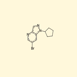 Brc1cnc2cnn(C3CCCC3)c2c1